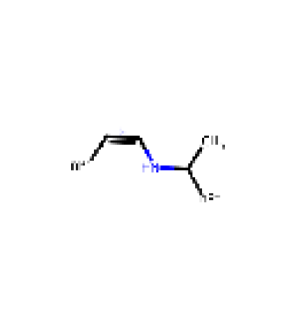 CCC/C=C\NC(C)CCC